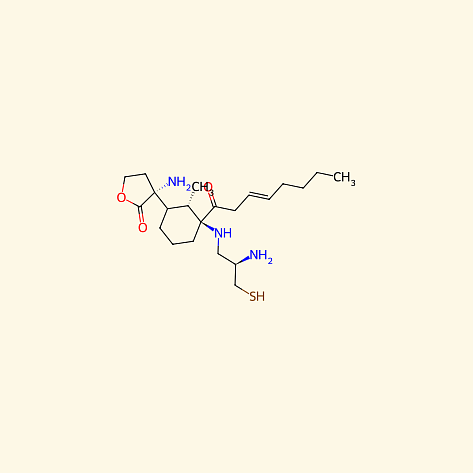 CCCCC=CCC(=O)[C@]1(NC[C@@H](N)CS)CCCC([C@]2(N)CCOC2=O)[C@@H]1C